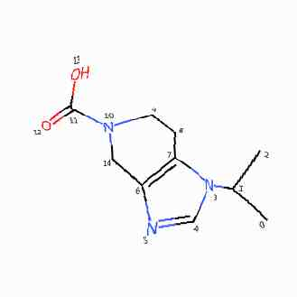 CC(C)n1cnc2c1CCN(C(=O)O)C2